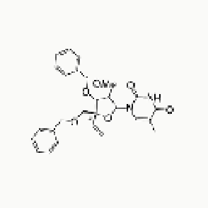 C=C[C@@]1(COCc2ccccc2)OC(n2cc(C)c(=O)[nH]c2=O)C(OC)C1OCc1ccccc1